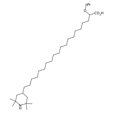 CCCOC(CCCCCCCCCCCCCCCCCCC1CC(C)(C)NC(C)(C)C1)C(=O)O